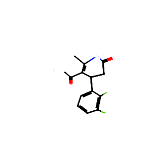 COC(=O)C1=C(C)NC(=O)CC1c1cccc(F)c1F